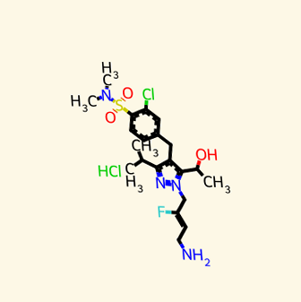 CC(C)c1nn(C/C(F)=C/CN)c(C(C)O)c1Cc1ccc(S(=O)(=O)N(C)C)c(Cl)c1.Cl